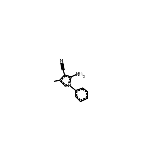 Cc1cn(-c2ccccc2)c(N)c1C#N